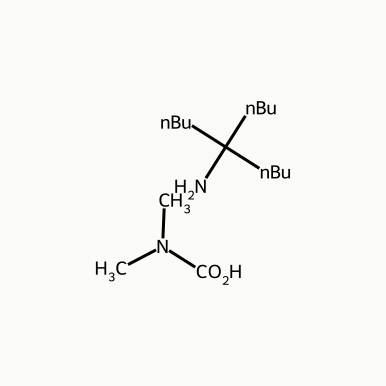 CCCCC(N)(CCCC)CCCC.CN(C)C(=O)O